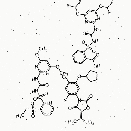 CC(C)=C1OC(=O)N(c2cc(OC3CCCC3)c(Cl)cc2F)C1=O.CCS(=O)(=O)c1cccnc1S(=O)(=O)NC(=O)Nc1nc(OC)cc(OC)n1.O=C(Nc1nc(OC(F)F)cc(OC(F)F)n1)NS(=O)(=O)c1ccccc1C(=O)O